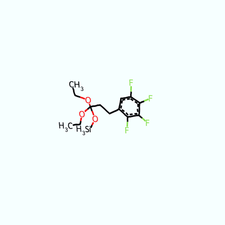 CCOC(CCc1cc(F)c(F)c(F)c1F)(O[SiH3])OCC